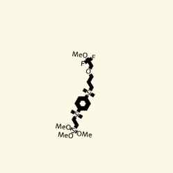 COC(F)(F)COCCC[Si](C)(C)c1ccc([Si](C)(C)CC[Si](OC)(OC)OC)cc1